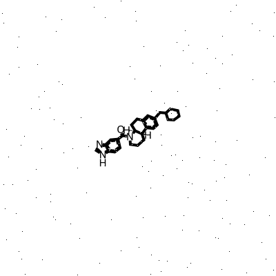 O=C(c1ccc2[nH]cnc2c1)N1CCC[C@@H]2c3ccc(CC4CCCCC4)cc3CC[C@@H]21